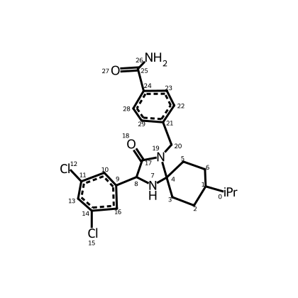 CC(C)C1CCC2(CC1)NC(c1cc(Cl)cc(Cl)c1)C(=O)N2Cc1ccc(C(N)=O)cc1